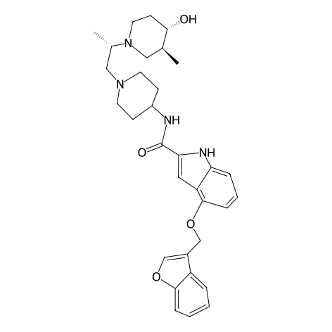 C[C@H]1CN([C@@H](C)CN2CCC(NC(=O)c3cc4c(OCc5coc6ccccc56)cccc4[nH]3)CC2)CC[C@@H]1O